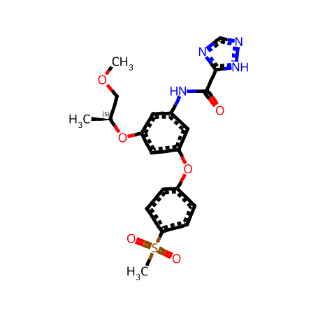 COC[C@H](C)Oc1cc(NC(=O)c2ncn[nH]2)cc(Oc2ccc(S(C)(=O)=O)cc2)c1